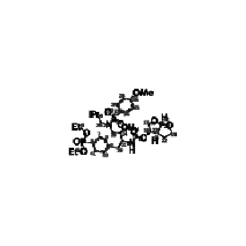 CCOP(=O)(OCC)c1ccc(C[C@H](NC(=O)O[C@H]2CO[C@H]3OCC[C@H]32)[C@H](O)CN(CC(C)C)S(=O)(=O)c2ccc(OC)cc2)cc1